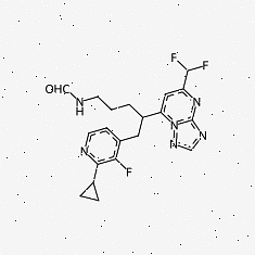 O=CNCCCC(Cc1ccnc(C2CC2)c1F)c1cc(C(F)F)nc2ncnn12